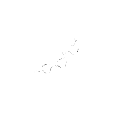 Oc1ccc(-c2cccc(Oc3cccc(O)c3)c2)cc1